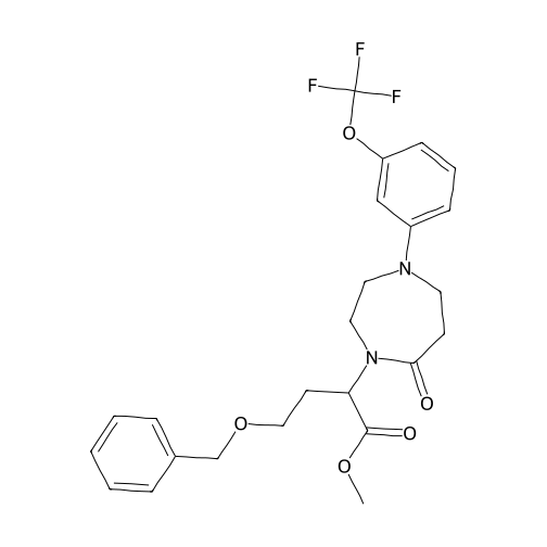 COC(=O)C(CCOCc1ccccc1)N1CCN(c2cccc(OC(F)(F)F)c2)CCC1=O